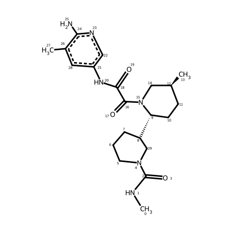 CNC(=O)N1CCCC([C@H]2CC[C@H](C)CN2C(=O)C(=O)Nc2cnc(N)c(C)c2)C1